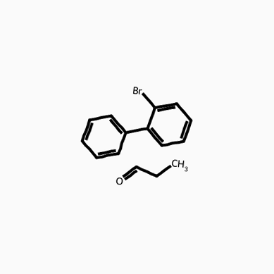 Brc1ccccc1-c1ccccc1.CCC=O